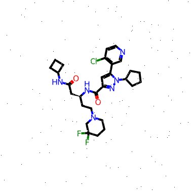 O=C(C[C@H](CCN1CCCC(F)(F)C1)NC(=O)c1cc(-c2cnccc2Cl)n(C2CCCC2)n1)NC1CCC1